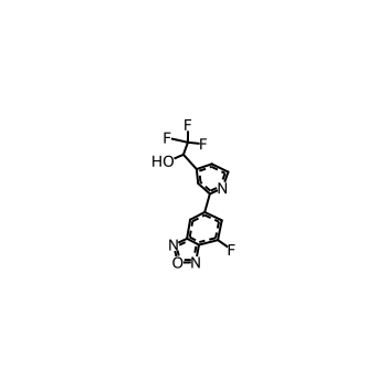 OC(c1ccnc(-c2cc(F)c3nonc3c2)c1)C(F)(F)F